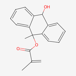 C=C(C)C(=O)OC1(C)c2ccccc2C(O)c2ccccc21